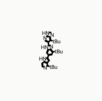 CC(C)(C)c1nccc2[nH]c(-c3cc(C(C)(C)C)c4nc(-c5cnc6[nH]cnc6c5C(C)(C)C)[nH]c4c3)cc12